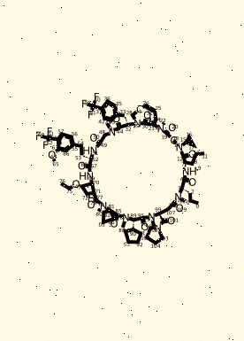 CCC[C@H]1C(=O)N[C@@H]([C@@H](C)CC)C(=O)N(C2CC2)CC(=O)N(C)[C@H]2C/C=C\CCN(C2=O)[C@@H](Cc2ccc(C(F)(F)F)cc2)C(=O)N(C)CC(=O)N[C@@H](CCc2ccc(C(F)(F)F)c(OC)c2)C(=O)NC2[C@H](C[C@H]2OCC)C(=O)N(C)C2(CCC2)C(=O)N(C)[C@@H](C2CCCC2)C(=O)N(C)[C@H](C(=O)N2CCCC2)CC(=O)N1C